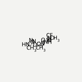 Cc1c(Oc2ncnc3c2C[C@H](C)NC3)ccc2c1ccn2C(=O)Nc1cc(C(F)(F)F)n(C)n1